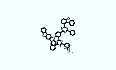 C=C/C=C\C=C(/C)c1nc(-c2ccccc2)nc(-c2cc(-c3nc(-c4ccccc4)nc(-c4cccc5oc6ccccc6c45)n3)ccc2-n2c3ccccc3c3cc4sc5ccccc5c4cc32)n1